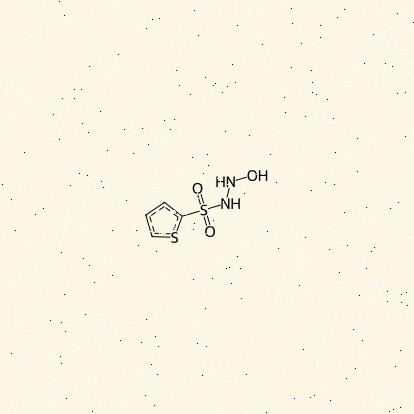 O=S(=O)(NNO)c1cccs1